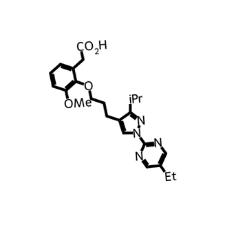 CCc1cnc(-n2cc(CCCOc3c(CC(=O)O)cccc3OC)c(C(C)C)n2)nc1